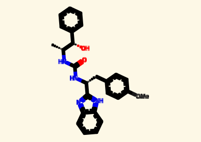 COc1ccc(C[C@@H](NC(=O)N[C@H](C)[C@@H](O)c2ccccc2)c2nc3ccccc3[nH]2)cc1